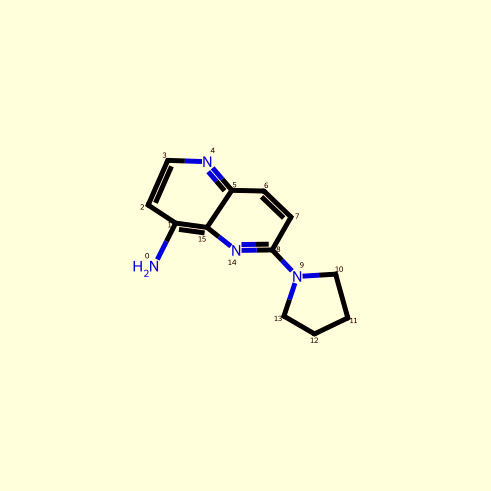 Nc1ccnc2ccc(N3CCCC3)nc12